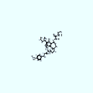 CCNC(=S)NC[C@H]1CCC2CC[C@@H](C(=O)NCCc3ccc(OC)cc3)N2C(=O)[C@H]1NC(=O)[C@@H](N)CC